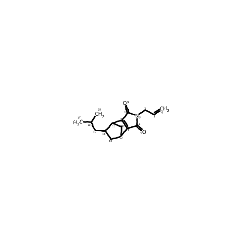 C=CCN1C(=O)C2=C(C1=O)C1CC2CC1CC(C)C